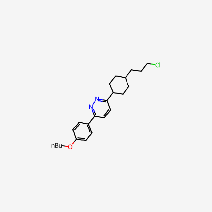 CCCCOc1ccc(-c2ccc(C3CCC(CCCCl)CC3)nn2)cc1